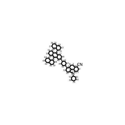 N#Cc1ccc2c3c1ccc1c(-c4ccc(-c5ccc6c(-c7cccc8ccccc78)c7ccccc7c(-c7cccc8ccccc78)c6c5)cc4)ccc(c13)n2-c1ccccc1